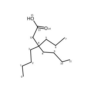 CCCCC(CCC)(CCCC)CC(=O)O